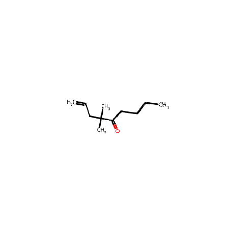 C=CCC(C)(C)C(=O)CCCC